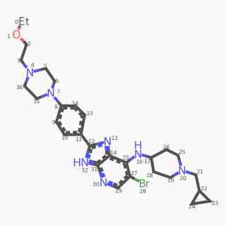 CCOCCN1CCN(c2ccc(-c3nc4c(NC5CCN(CC6CC6)CC5)c(Br)cnc4[nH]3)cc2)CC1